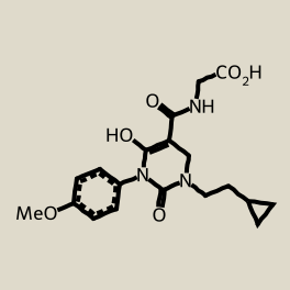 COc1ccc(N2C(=O)N(CCC3CC3)CC(C(=O)NCC(=O)O)=C2O)cc1